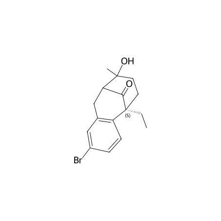 CC[C@]12CCC(C)(O)C(Cc3cc(Br)ccc31)C2=O